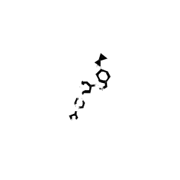 Fc1cc(-n2ncc3ccc([C@@H]4CC45CC5)cc32)cc(N2CCN(C3COC3)CC2)n1